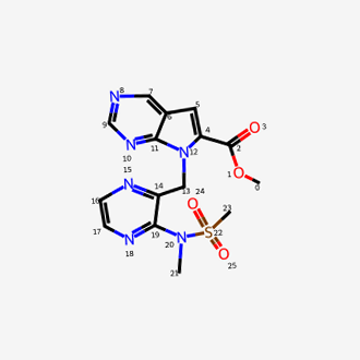 COC(=O)c1cc2cncnc2n1Cc1nccnc1N(C)S(C)(=O)=O